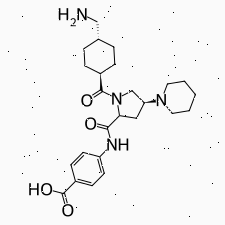 NC[C@H]1CC[C@H](C(=O)N2C[C@@H](N3CCCCC3)CC2C(=O)Nc2ccc(C(=O)O)cc2)CC1